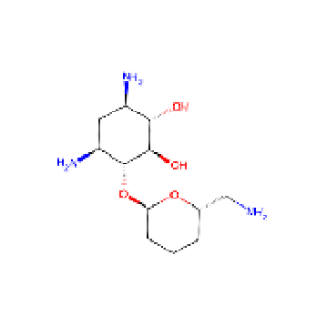 NC[C@@H]1CCC[C@@H](O[C@H]2[C@H](O)[C@@H](O)[C@H](N)C[C@@H]2N)O1